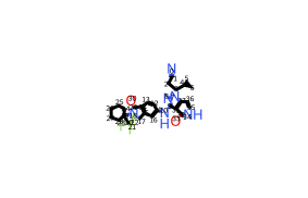 N#CCC(C1CC1)n1nc(Nc2ccc3c(c2)CN(C2(C(F)(F)F)CCCCC2)C3=O)c2c(=O)[nH]ccc21